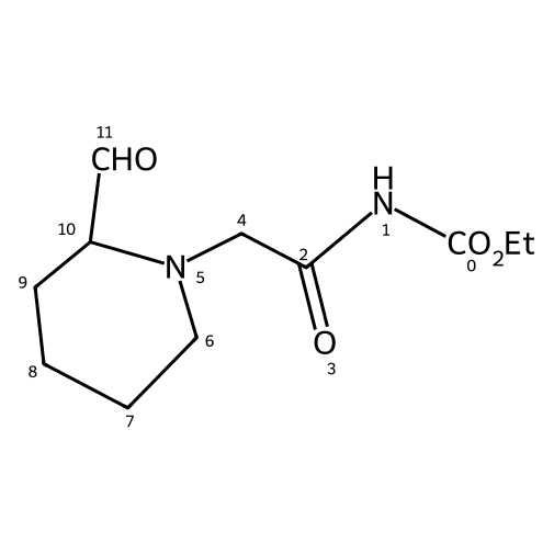 CCOC(=O)NC(=O)CN1CCCCC1C=O